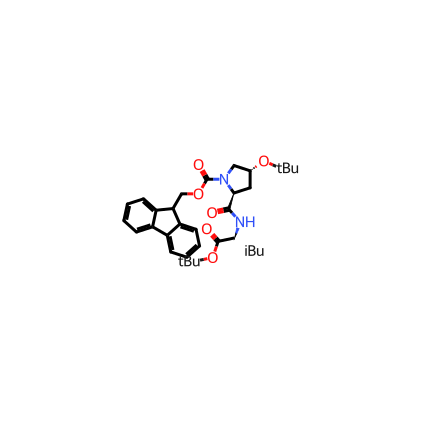 CC[C@H](C)[C@H](NC(=O)[C@@H]1C[C@@H](OC(C)(C)C)CN1C(=O)OCC1c2ccccc2-c2ccccc21)C(=O)OC(C)(C)C